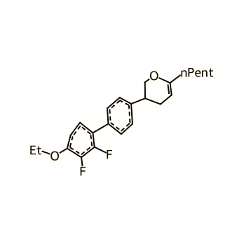 CCCCCC1=CCC(c2ccc(-c3ccc(OCC)c(F)c3F)cc2)CO1